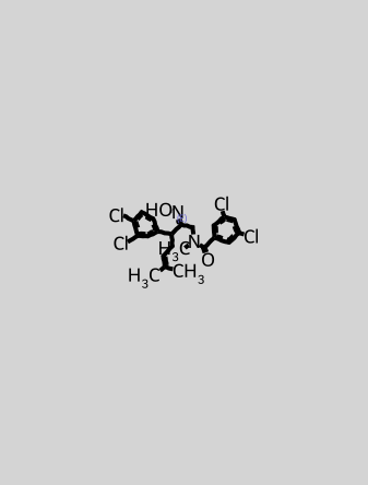 CC(C)=CCC(/C(CN(C)C(=O)c1cc(Cl)cc(Cl)c1)=N\O)c1ccc(Cl)c(Cl)c1